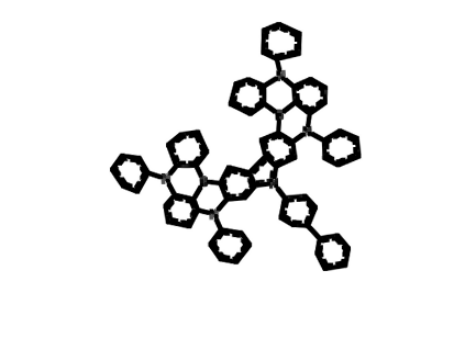 c1ccc(-c2ccc(-n3c4cc5c(cc4c4cc6c(cc43)N(c3ccccc3)c3cccc4c3B6c3ccccc3N4c3ccccc3)B3c4ccccc4N(c4ccccc4)c4cccc(c43)N5c3ccccc3)cc2)cc1